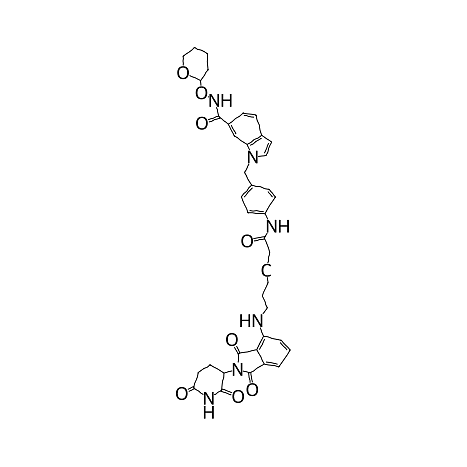 O=C1CCC(N2C(=O)c3cccc(NCCCCCC(=O)Nc4ccc(Cn5ccc6ccc(C(=O)NOC7CCCCO7)cc65)cc4)c3C2=O)C(=O)N1